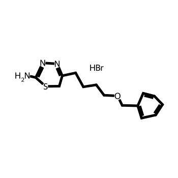 Br.NC1=NN=C(CCCCOCc2ccccc2)CS1